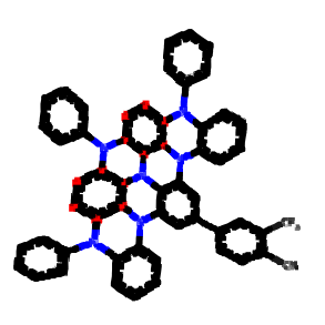 N#Cc1ccc(-c2cc(N3c4ccccc4N(c4ccccc4)c4ccccc43)c(N3c4ccccc4N(c4ccccc4)c4ccccc43)c(N3c4ccccc4N(c4ccccc4)c4ccccc43)c2)cc1C(F)(F)F